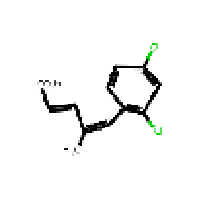 CC(C=CC(=O)O)=Cc1ccc(Cl)cc1Cl